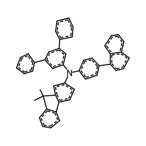 CC1(C)c2ccccc2-c2ccc(N(c3ccc(-c4cccc5ccccc45)cc3)c3cc(-c4ccccc4)cc(-c4ccccc4)c3)cc21